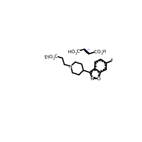 CCOC(=O)CCN1CCC(c2noc3cc(F)ccc23)CC1.O=C(O)/C=C/C(=O)O